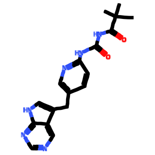 CC(C)(C)C(=O)NC(=O)Nc1ccc(Cc2c[nH]c3ncncc23)cn1